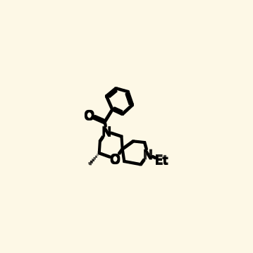 CCN1CCC2(CC1)CN(C(=O)c1ccccc1)C[C@@H](C)O2